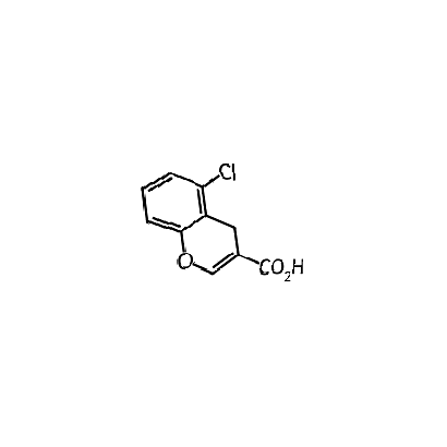 O=C(O)C1=COc2cccc(Cl)c2C1